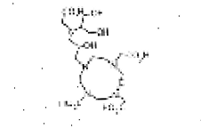 O=C(O)CN1CCN(CC(=O)O)CCN(C(=O)O)CCN(CC(O)CN(CC(=O)O)C(CO)CO)CC1